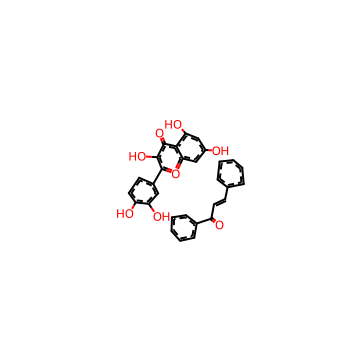 O=C(C=Cc1ccccc1)c1ccccc1.O=c1c(O)c(-c2ccc(O)c(O)c2)oc2cc(O)cc(O)c12